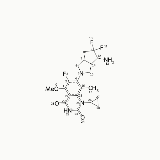 COc1c(F)c(N2CC3CC(F)(F)C(N)C3C2)c(C)c2c1c(=O)[nH]c(=O)n2C1CC1